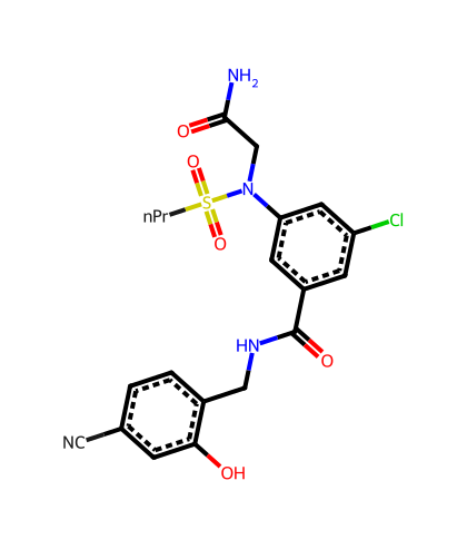 CCCS(=O)(=O)N(CC(N)=O)c1cc(Cl)cc(C(=O)NCc2ccc(C#N)cc2O)c1